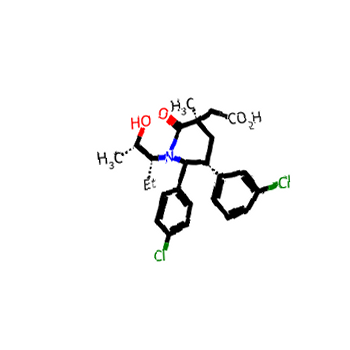 CC[C@H]([C@H](C)O)N1C(=O)[C@@](C)(CC(=O)O)C[C@H](c2cccc(Cl)c2)C1c1ccc(Cl)cc1